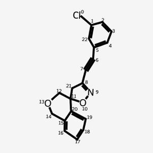 Clc1cccc(C#CC2=NOC3(COCc4ccccc43)C2)c1